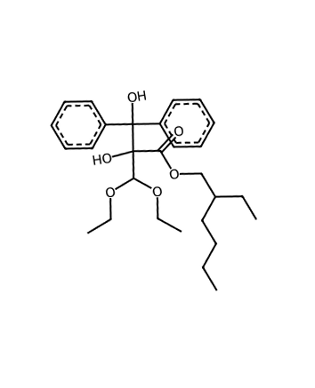 CCCCC(CC)COC(=O)C(O)(C(OCC)OCC)C(O)(c1ccccc1)c1ccccc1